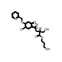 NC(CO)(Cc1noc2cc(OCc3ccccn3)c(Cl)cc12)C(=O)OCCCO